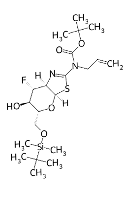 C=CCN(C(=O)OC(C)(C)C)C1=N[C@@H]2[C@@H](F)[C@H](O)[C@@H](CO[Si](C)(C)C(C)(C)C)O[C@@H]2S1